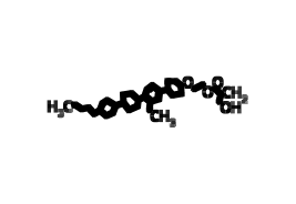 C=C(CO)C(=O)OCCOC1CCC(c2ccc(C3CCC(C4CCC(CCCCC)CC4)CC3)c(CC)c2)CC1